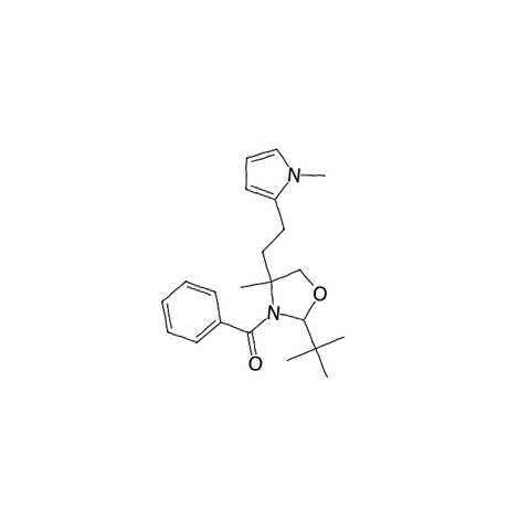 Cn1cccc1CCC1(C)COC(C(C)(C)C)N1C(=O)c1ccccc1